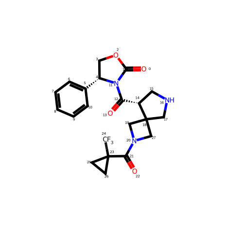 O=C1OC[C@@H](c2ccccc2)N1C(=O)[C@@H]1CNCC12CN(C(=O)C1(C(F)(F)F)CC1)C2